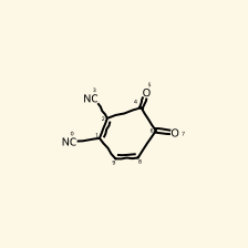 N#CC1=C(C#N)C(=O)C(=O)C=C1